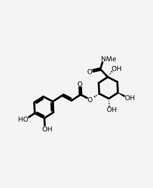 CNC(=O)[C@@]1(O)C[C@@H](O)[C@H](O)[C@H](OC(=O)/C=C/c2ccc(O)c(O)c2)C1